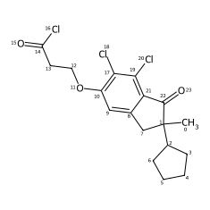 CC1(C2CCCC2)Cc2cc(OCCC(=O)Cl)c(Cl)c(Cl)c2C1=O